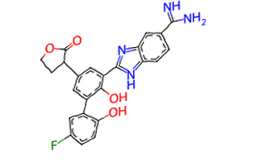 N=C(N)c1ccc2[nH]c(-c3cc(C4CCOC4=O)cc(-c4cc(F)ccc4O)c3O)nc2c1